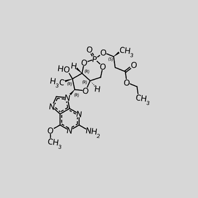 CCOC(=O)C[C@H](C)OP1(=O)OC[C@H]2O[C@@H](n3cnc4c(OC)nc(N)nc43)[C@](C)(O)[C@@H]2O1